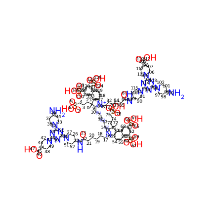 CC1(CCCS(=O)(=O)O)C(/C=C/C=C/C=C2/N(CCCCCC(=O)NC3CCN(c4nc(N5CCC(N)CC5)nc(N5CCC(C(=O)O)CC5)n4)CC3)c3ccc4c(S(=O)(=O)O)cc(S(=O)(=O)O)cc4c3C2(C)CCCS(=O)(=O)O)=[N+](CCCCCC(=O)NC2CCN(c3nc(N4CCC(N)CC4)nc(N4CCC(C(=O)O)CC4)n3)CC2)c2ccc3c(S(=O)(=O)O)cc(S(=O)(=O)O)cc3c21